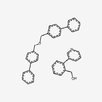 OCc1ccccc1-c1cccnc1.c1ccc(-c2ccc(COCc3ccc(-c4ccccc4)cc3)cc2)cc1